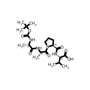 CC(C)[C@H](NC(=O)[C@@H]1CCCN1C(=O)[C@H](C)NC(=O)[C@H](C)NC(=O)OC(C)(C)C)C(=O)O